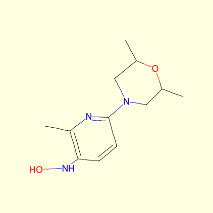 Cc1nc(N2CC(C)OC(C)C2)ccc1NO